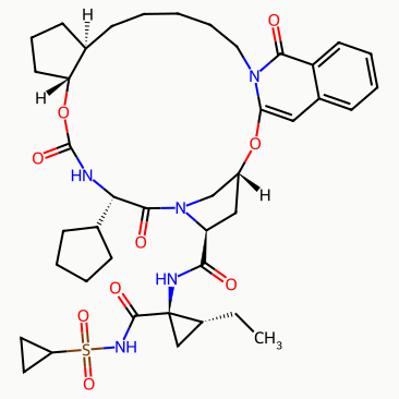 CC[C@@H]1C[C@]1(NC(=O)[C@@H]1C[C@@H]2CN1C(=O)[C@H](C1CCCC1)NC(=O)O[C@@H]1CCC[C@H]1CCCCCn1c(cc3ccccc3c1=O)O2)C(=O)NS(=O)(=O)C1CC1